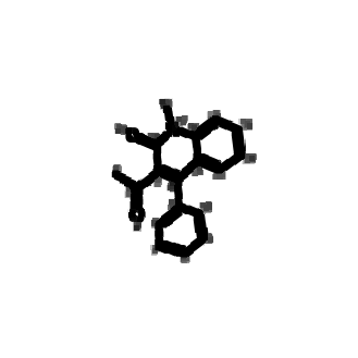 CC(=O)c1c(-c2ccccc2)c2ccccc2n(C)c1=O